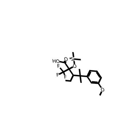 CCC(C(C)(C)c1cccc(OC)c1)C(O[Si](C)(C)C)(C(=O)O)C(F)(F)F